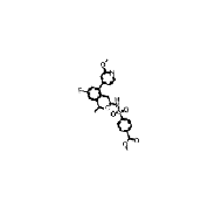 COC(=O)c1ccc(S(=O)(=O)NC(=O)Cc2c(-c3ccnc(OC)c3)cc(F)cc2C(C)C)cc1